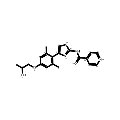 Cc1cc(OCC(C)O)cc(C)c1-c1csc(NC(=O)c2ccncc2)n1